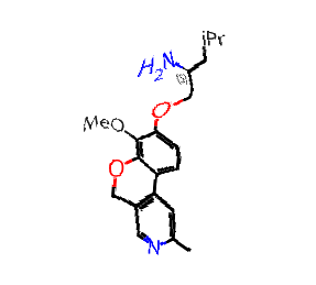 COc1c(OC[C@@H](N)CC(C)C)ccc2c1OCc1cnc(C)cc1-2